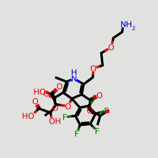 COC(=O)C1=C(C)NC(COCCOCCN)=C(C(=O)OC(C)C)C1(OC(C(=O)O)C(O)C(=O)O)c1c(F)c(F)c(F)c(F)c1F